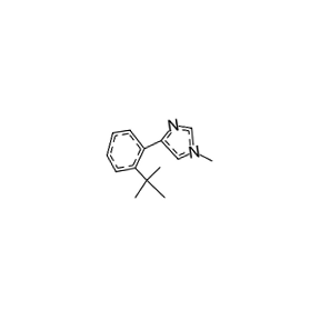 Cn1cnc(-c2ccccc2C(C)(C)C)c1